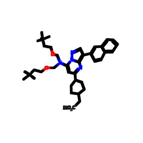 CCOC(=O)CC1CCC(c2cc(N(COCC[Si](C)(C)C)COCC[Si](C)(C)C)n3ncc(-c4ccc5ccccc5c4)c3n2)CC1